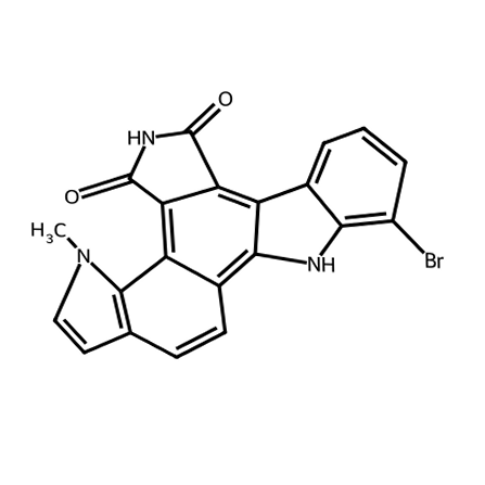 Cn1ccc2ccc3c4[nH]c5c(Br)cccc5c4c4c(c3c21)C(=O)NC4=O